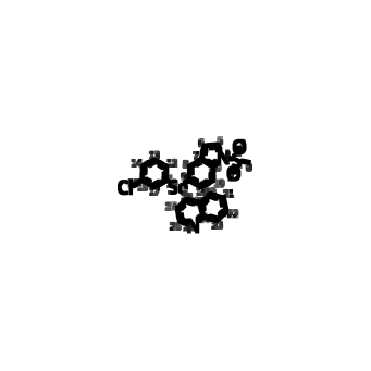 CS(=O)(=O)n1ccc2cc([Se]c3cccc(Cl)c3)ccc21.c1ccc2ncccc2c1